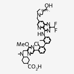 COc1nc(-c2cccc(-c3cccc(Nc4nc(C(F)F)nc5cc(CN6CC[C@H]([C@@H](C)O)C6)cnc45)c3C)c2Cl)cnc1CN(C)C1CCC(C(=O)O)CC1